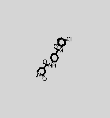 CN1CCC(C(=O)NC2CCC(c3nc4cc(Cl)ccc4o3)CC2)CC1=O